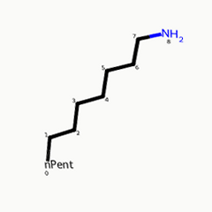 [CH2]CCCCCCCCCCCN